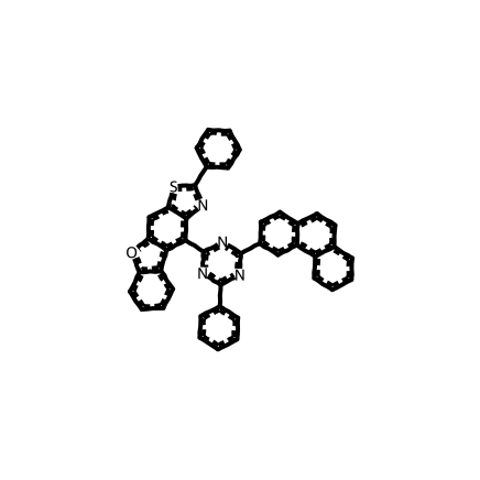 c1ccc(-c2nc(-c3ccc4ccc5ccccc5c4c3)nc(-c3c4nc(-c5ccccc5)sc4cc4oc5ccccc5c34)n2)cc1